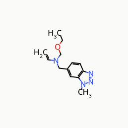 C=CN(COCC)Cc1ccc2nnn(C)c2c1